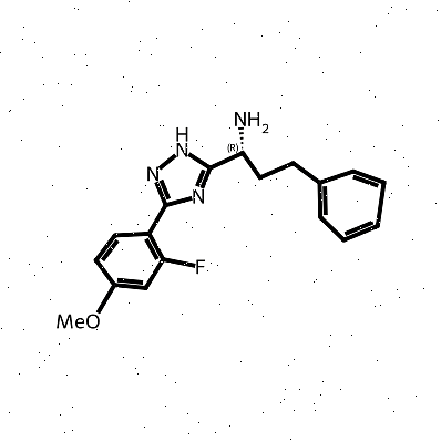 COc1ccc(-c2n[nH]c([C@H](N)CCc3ccccc3)n2)c(F)c1